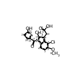 COc1ccc2c(c1Cl)c(CC(=O)O)c(C)n2C(=O)c1ccc(O)s1